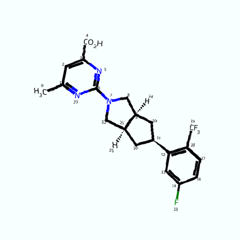 Cc1cc(C(=O)O)nc(N2C[C@H]3C[C@@H](c4cc(F)ccc4C(F)(F)F)C[C@H]3C2)n1